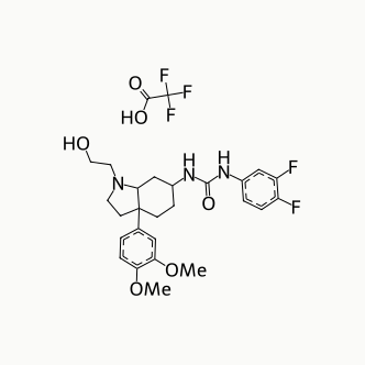 COc1ccc(C23CCC(NC(=O)Nc4ccc(F)c(F)c4)CC2N(CCO)CC3)cc1OC.O=C(O)C(F)(F)F